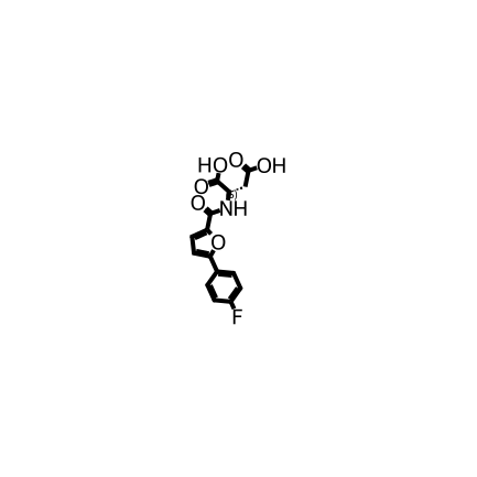 O=C(O)C[C@H](NC(=O)c1ccc(-c2ccc(F)cc2)o1)C(=O)O